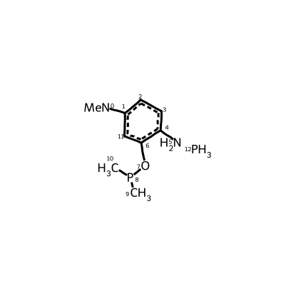 CNc1ccc(N)c(OP(C)C)c1.P